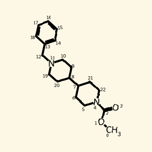 COC(=O)N1CCC(C2CCN(Cc3ccccc3)CC2)CC1